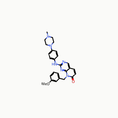 COc1cccc(Cn2c(=O)ccc3cnc(Nc4ccc(N5CCN(C)CC5)cc4)nc32)c1